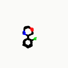 Clc1ccccc1C1COCC[N]1